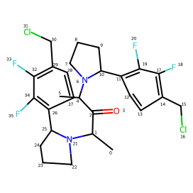 CC(C(=O)C(C)N1CCCC1c1ccc(CCl)c(F)c1F)N1CCCC1c1ccc(CCl)c(F)c1F